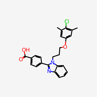 Cc1cc(OCCCn2c(-c3ccc(C(=O)O)cc3)nc3ccccc32)cc(C)c1Cl